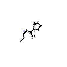 CC/C=C\C(=N)n1cccn1